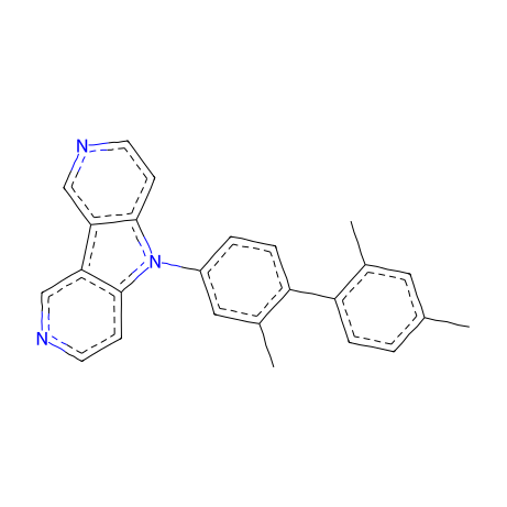 Cc1ccc(-c2ccc(-n3c4ccncc4c4cnccc43)cc2C)c(C)c1